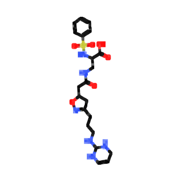 O=C(CC1CC(CCCNC2NC=CCN2)=NO1)NCC(NS(=O)(=O)c1ccccc1)C(=O)O